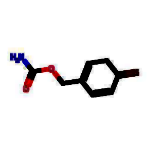 NC(=O)OCC1=CCC(=S)C=C1